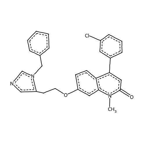 Cn1c(=O)cc(-c2cccc(Cl)c2)c2ccc(OCCc3cncn3Cc3ccccc3)cc21